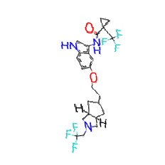 O=C(Nc1c[nH]c2ccc(OCCC3C[C@@H]4CN(CC(F)(F)F)C[C@@H]4C3)cc12)C1(C(F)(F)F)CC1